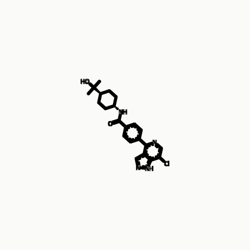 CC(C)(O)[C@H]1CC[C@H](NC(=O)c2ccc(-c3ncc(Cl)c4[nH]ncc34)cc2)CC1